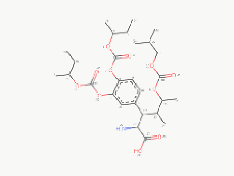 CCC(C)OC(=O)Oc1ccc(C(C(C)C(C)OC(=O)OCC(C)C)[C@H](N)C(=O)O)cc1OC(=O)OC(C)CC